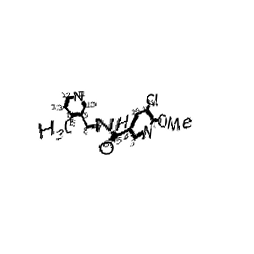 COc1ncc(C(=O)NCc2cnccc2C)cc1Cl